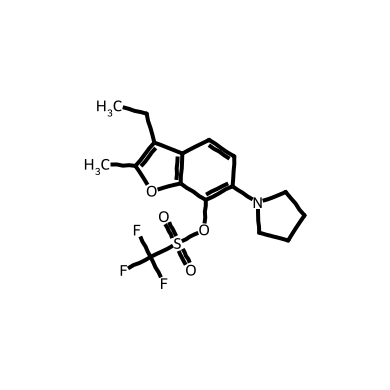 CCc1c(C)oc2c(OS(=O)(=O)C(F)(F)F)c(N3CCCC3)ccc12